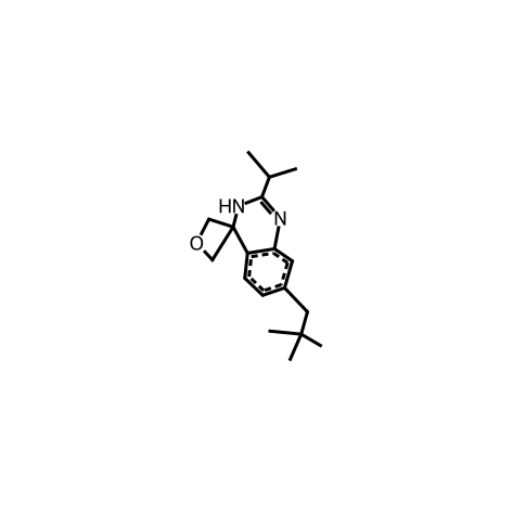 CC(C)C1=Nc2cc(CC(C)(C)C)ccc2C2(COC2)N1